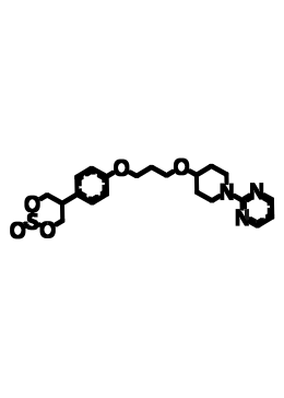 O=S1OCC(c2ccc(OCCCOC3CCN(c4ncccn4)CC3)cc2)CO1